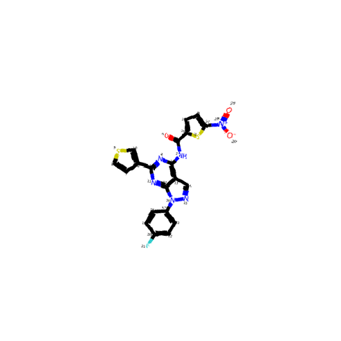 O=C(Nc1nc(-c2ccsc2)nc2c1cnn2-c1ccc(F)cc1)c1ccc([N+](=O)[O-])s1